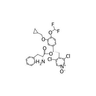 N[C@H](Cc1ccccc1)C(=O)O[C@@H](Cc1c(Cl)c[n+]([O-])cc1Cl)c1ccc(OC(F)F)c(OCC2CC2)c1